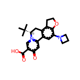 CC(C)(C)[C@@H]1Cc2c(cc(N3CCC3)c3c2CCO3)-c2cc(=O)c(C(=O)O)cn21